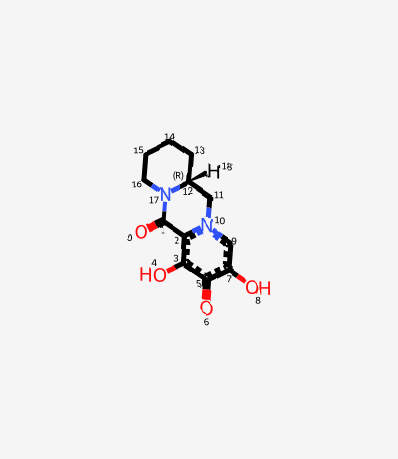 O=C1c2c(O)c(=O)c(O)cn2C[C@H]2CCCCN12